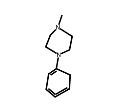 CN1CCN(C2=CC=C=CC2)CC1